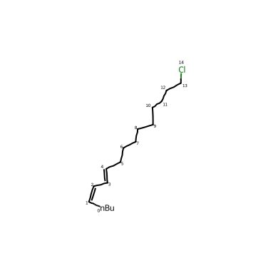 CCCC/C=C\C=C\CCCCCCCCCCl